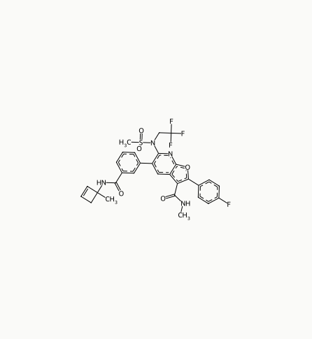 CNC(=O)c1c(-c2ccc(F)cc2)oc2nc(N(CC(F)(F)F)S(C)(=O)=O)c(-c3cccc(C(=O)NC4(C)C=CC4)c3)cc12